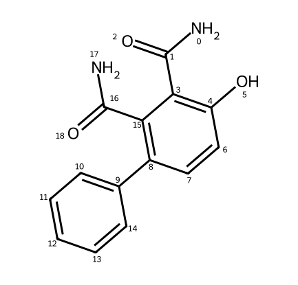 NC(=O)c1c(O)ccc(-c2ccccc2)c1C(N)=O